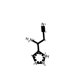 N#CCC(N)c1cnn[nH]1